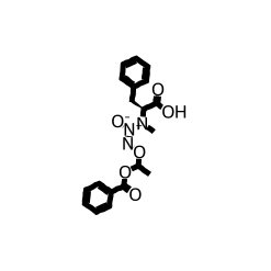 CC(O/N=[N+](/[O-])N(C)[C@@H](Cc1ccccc1)C(=O)O)OC(=O)c1ccccc1